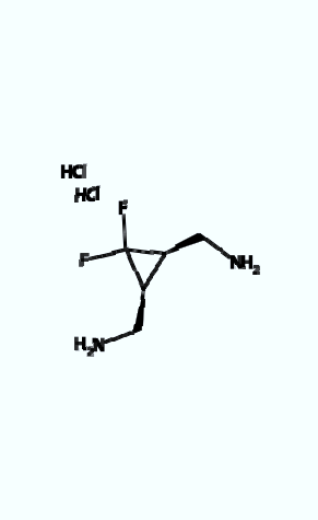 Cl.Cl.NC[C@@H]1[C@H](CN)C1(F)F